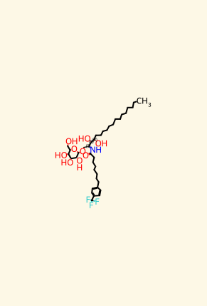 CCCCCCCCCCCCCC[C@@H](O)[C@@H](O)[C@H](COC1OC(CO)C(O)C(O)C1O)NC(=O)CCCCCCCc1ccc(C(F)(F)F)cc1